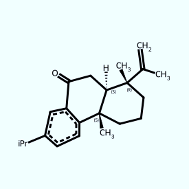 C=C(C)[C@]1(C)CCC[C@]2(C)c3ccc(C(C)C)cc3C(=O)C[C@@H]12